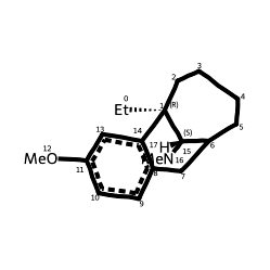 CC[C@@]12CCCCC(Cc3ccc(OC)cc31)[C@@H]2NC